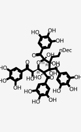 CCCCCCCCCCCC[C@@]1(O)[C@](O)(C(=O)c2cc(O)c(O)c(O)c2)[C@@](O)(C(=O)c2cc(O)c(O)c(O)c2)[C@@H](C(O)C(=O)c2cc(O)c(O)c(O)c2)O[C@]1(O)C(=O)c1cc(O)c(O)c(O)c1